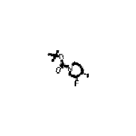 CC(C)(C)OC(=O)N1CC[C@@H](I)[C@@H](F)C1